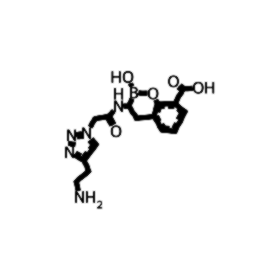 NCCc1cn(CC(=O)NC2Cc3cccc(C(=O)O)c3OB2O)nn1